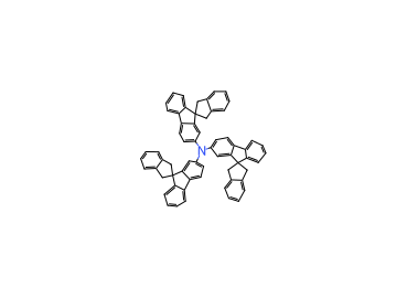 c1ccc2c(c1)CC1(C2)c2ccccc2-c2ccc(N(c3ccc4c(c3)C3(Cc5ccccc5C3)c3ccccc3-4)c3ccc4c(c3)C3(Cc5ccccc5C3)c3ccccc3-4)cc21